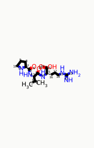 CC(C)[C@H](NC(=O)[C@@H]1CCCN1)C(=O)N[C@@H](CCCNC(=N)N)C(=O)O